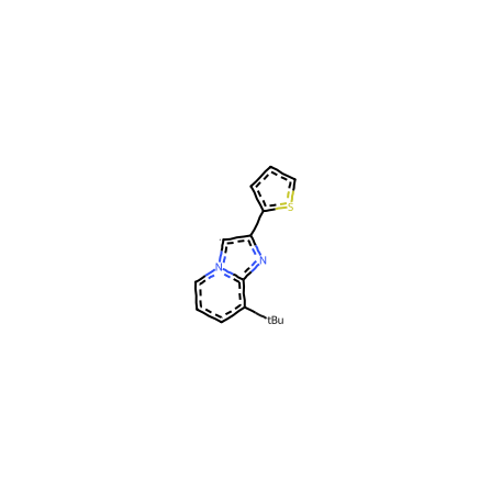 CC(C)(C)c1cccn2[c]c(-c3cccs3)nc12